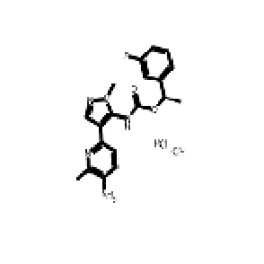 Cc1nc(-c2cnn(C)c2NC(=O)O[C@H](C)c2cccc(F)c2)ccc1N.Cl.Cl